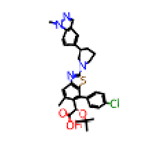 Cc1cc2nc(N3CCCC(c4ccc5c(cnn5C)c4)C3)sc2c(-c2ccc(Cl)cc2)c1[C@H](OC(C)(C)C)C(=O)O